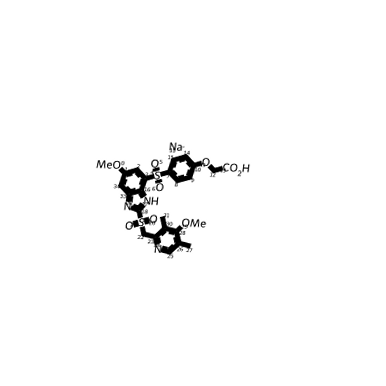 COc1cc(S(=O)(=O)c2ccc(OCC(=O)O)cc2)c2[nH]c(S(=O)(=O)Cc3ncc(C)c(OC)c3C)nc2c1.[Na]